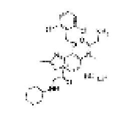 CC1=C[N+]2(C(=O)CNC3CCCCC3)C=CC(N(C)C(=O)CN)=C(OCc3c(Cl)cccc3Cl)C2=N1.Cl.Cl